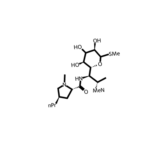 CCC[C@@H]1C[C@@H](C(=O)N[C@@H]([C@H]2OC(SC)[C@H](O)C(O)[C@@H]2O)[C@H](C)NC)N(C)C1